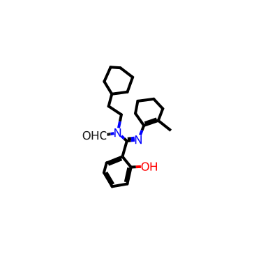 CC1=C(/N=C(/c2ccccc2O)N(C=O)CCC2CCCCC2)CCCC1